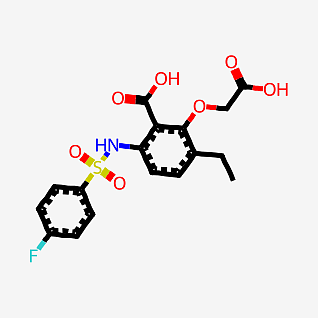 CCc1ccc(NS(=O)(=O)c2ccc(F)cc2)c(C(=O)O)c1OCC(=O)O